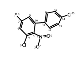 O=[N+]([O-])c1c(Cl)cc(F)cc1-c1ccc(Cl)cc1